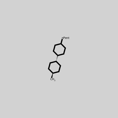 CCCCCC1CCC([C@H]2CC[C@H](C)CC2)CC1